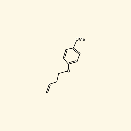 C=CCCOc1ccc(OC)cc1